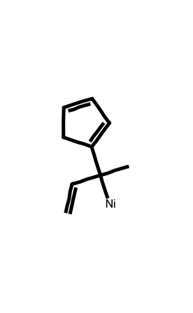 C=C[C](C)([Ni])C1=CC=CC1